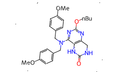 CCCCOc1nc2c(c(N(Cc3ccc(OC)cc3)Cc3ccc(OC)cc3)n1)NC(=O)NC2